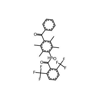 Cc1c(C)c([PH](=O)C(=O)c2c(C(F)(F)F)cccc2C(F)(F)F)c(C)c(C)c1C(=O)c1ccccc1